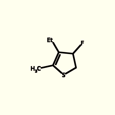 CCC1=C(C)SCC1F